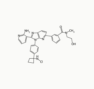 CN(CCO)C(=O)c1cccc(-c2ccc3nc(-c4cccnc4N)n(-c4ccc(C5(NCl)CCC5)cc4)c3n2)c1